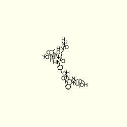 CCOCc1nc2c(NC(=O)OCc3ccc(NC(=O)[C@H](CCCNC(N)=O)NC(=O)[C@@H](NC(=O)OC(C)(C)C)C(C)C)cc3)nc3ccccc3c2n1CC(C)(C)O